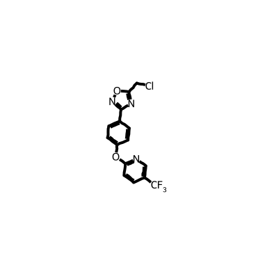 FC(F)(F)c1ccc(Oc2ccc(-c3noc(CCl)n3)cc2)nc1